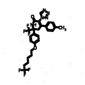 Cc1ccc(C2=C(n3cnnn3)C(=O)NC(c3ccc(OCCCCCC(F)(F)F)cc3)(C(F)(F)F)C2)cc1